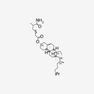 CC(C)CCC[C@H](C)[C@H]1CC[C@H]2[C@@H]3CC=C4C[C@@H](OC(=O)CSCC(C)C(N)=O)CC[C@]4(C)[C@H]3CC[C@]12C